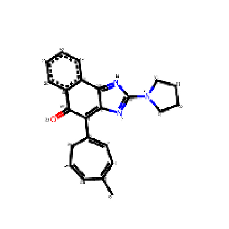 CC1=CC=C(C2=C3N=C(N4CCCC4)N=C3c3ccccc3C2=O)CC=C1